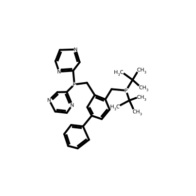 CC(C)(C)P(Cc1ccc(-c2ccccc2)cc1CP(c1cnccn1)c1cnccn1)C(C)(C)C